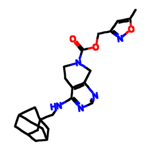 Cc1cc(COC(=O)N2CCc3c(ncnc3NCC34CC5CC(CC(C5)C3)C4)C2)no1